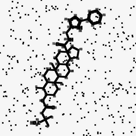 CC1C(OC(=O)CC(C)(C)C(=O)O)CCC2(C)C1CCC1(C)C3CCC4(C(=O)NCc5ncc(-c6ccccc6)[nH]5)CCCC4C3CCC21